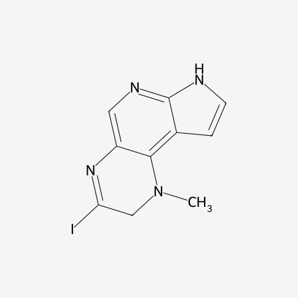 CN1CC(I)=Nc2cnc3[nH]ccc3c21